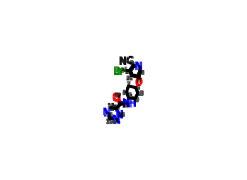 N#Cc1ncc(O[C@H]2CC[C@H](NC(=O)c3cncnn3)CC2)cc1Br